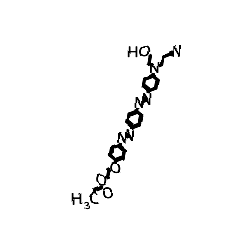 CCC(=O)OCCOc1ccc(N=Nc2ccc(N=Nc3ccc(N(CCO)CCC#N)cc3)cc2)cc1